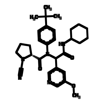 COc1cncc(C(C(=O)NC2CCCCC2)N(C(=O)[C@H]2CCCN2C#N)c2ccc(C(C)(C)C)cc2)c1